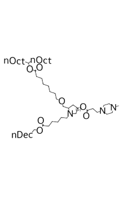 CCCCCCCCCCCOC(=O)CCCCCN1C[C@@H](OC(=O)CCN2CCN(C)CC2)CC1COCCCCCCCC(=O)OC(CCCCCCCC)CCCCCCCC